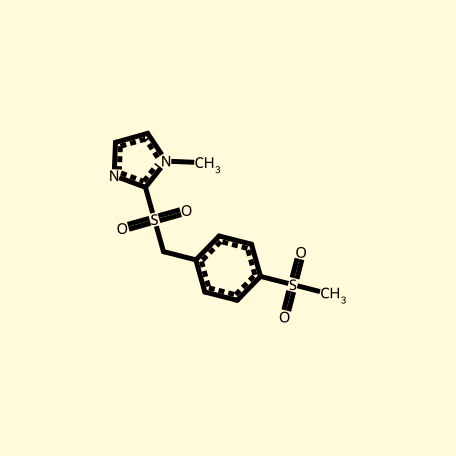 Cn1ccnc1S(=O)(=O)Cc1ccc(S(C)(=O)=O)cc1